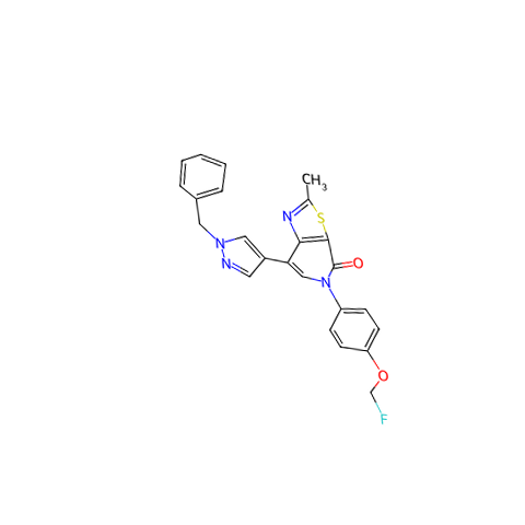 Cc1nc2c(-c3cnn(Cc4ccccc4)c3)cn(-c3ccc(OCF)cc3)c(=O)c2s1